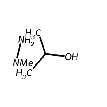 CC(C)O.CNN